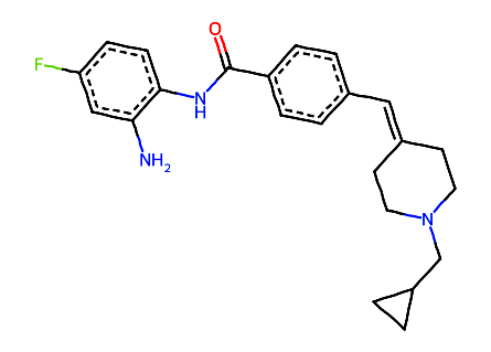 Nc1cc(F)ccc1NC(=O)c1ccc(C=C2CCN(CC3CC3)CC2)cc1